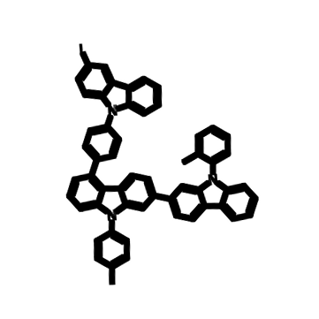 Cc1ccc(-n2c3cc(-c4ccc5c6ccccc6n(-c6ccccc6C)c5c4)ccc3c3c(-c4ccc(-n5c6ccccc6c6cc(I)ccc65)cc4)cccc32)cc1